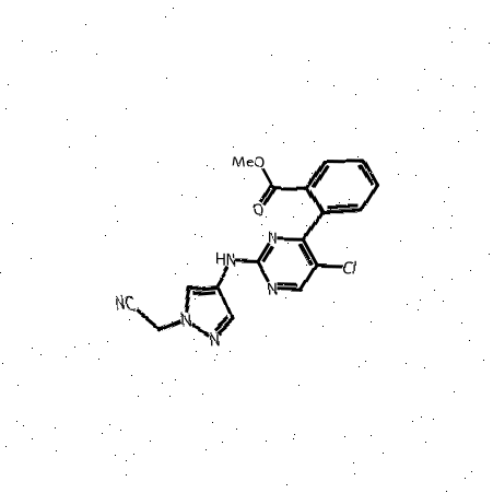 COC(=O)c1ccccc1-c1nc(Nc2cnn(CC#N)c2)ncc1Cl